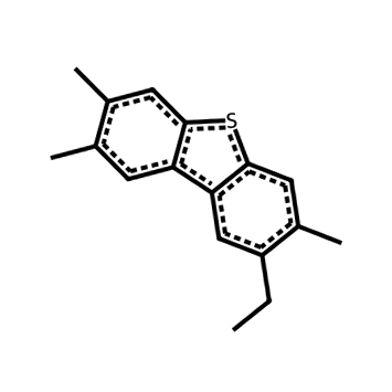 CCc1cc2c(cc1C)sc1cc(C)c(C)cc12